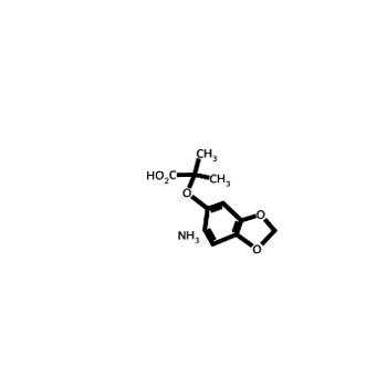 CC(C)(Oc1ccc2c(c1)OCO2)C(=O)O.N